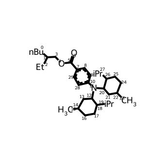 CCCCC(CC)COC(=O)c1ccc(N(C2CC(C)CCC2C(C)C)C2CC(C)CCC2C(C)C)cc1